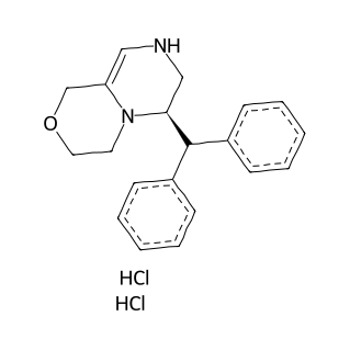 C1=C2COCCN2[C@H](C(c2ccccc2)c2ccccc2)CN1.Cl.Cl